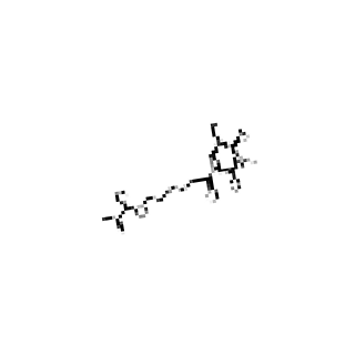 C=C(C)C(=O)OCCCCCC(=O)n1cc(F)c(=S)n(C)c1=O